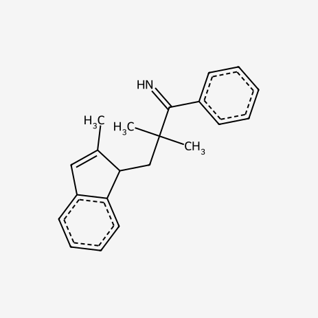 CC1=Cc2ccccc2C1CC(C)(C)C(=N)c1ccccc1